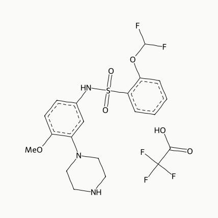 COc1ccc(NS(=O)(=O)c2ccccc2OC(F)F)cc1N1CCNCC1.O=C(O)C(F)(F)F